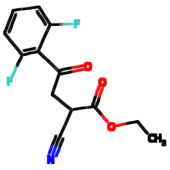 CCOC(=O)C(C#N)CC(=O)c1c(F)cccc1F